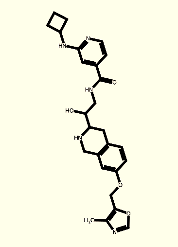 Cc1ncoc1COc1ccc2c(c1)CNC(C(O)CNC(=O)c1ccnc(NC3CCC3)c1)C2